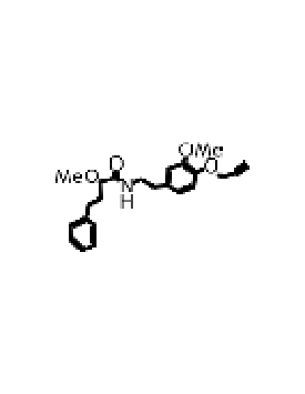 C#CCOc1ccc(CCNC(=O)C(CCc2ccccc2)OC)cc1OC